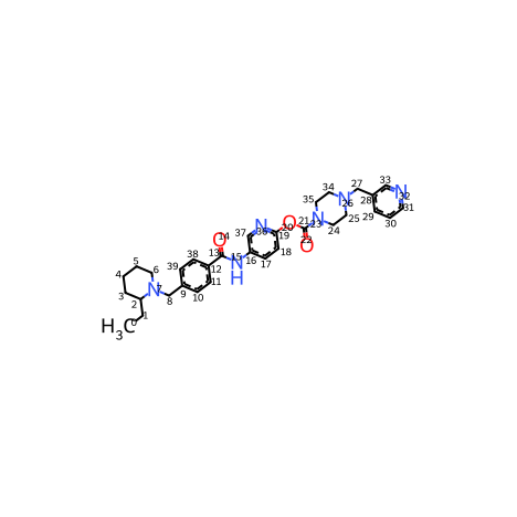 CCC1CCCCN1Cc1ccc(C(=O)Nc2ccc(OC(=O)N3CCN(Cc4cccnc4)CC3)nc2)cc1